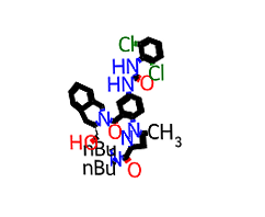 CCCCN(CCCC)C(=O)c1cc(C)n(-c2ccc(NC(=O)Nc3c(Cl)cccc3Cl)cc2C(=O)N2Cc3ccccc3C[C@H]2CO)n1